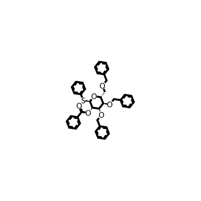 O=C(O[C@H]1[C@@H](OCc2ccccc2)[C@H](OCc2ccccc2)[C@@H](COCc2ccccc2)O[C@@H]1Sc1ccccc1)c1ccccc1